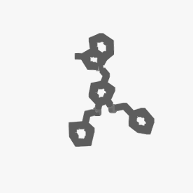 Cc1cn(Cc2ccc(OCc3ccccc3)c(OCc3ccccc3)c2)c2ccccc12